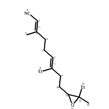 CC/C(=C\CC/C(C)=C/C#N)CCC1OC1(C)CC